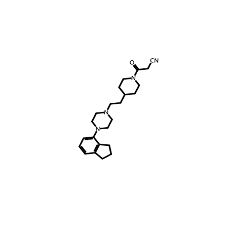 N#CCC(=O)N1CCC(CCN2CCN(c3cccc4c3CCC4)CC2)CC1